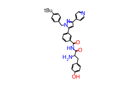 CC(C)(C)c1ccc(Cn2nc(-c3ccncc3)cc2-c2cccc(C(=O)NC(=O)C(N)Cc3ccc(O)cc3)c2)cc1